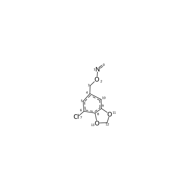 C=NOCc1cc(Cl)c2c(c1)OCO2